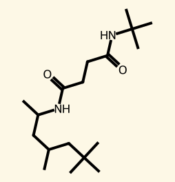 CC(CC(C)NC(=O)CCC(=O)NC(C)(C)C)CC(C)(C)C